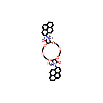 C=C1OCCOCCOC(C(=O)Nc2ccc3ccc4cccc5ccc2c3c45)C(=C)OCCOCCOC1C(=O)Nc1ccc2ccc3cccc4ccc1c2c34